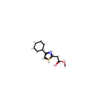 COC(=O)Cc1nc(C2CCCCC2)cs1